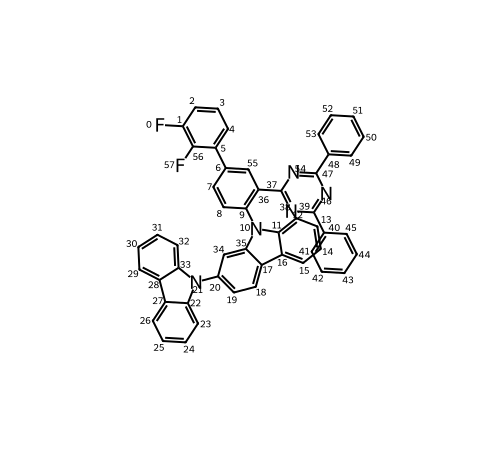 Fc1cccc(-c2ccc(-n3c4ccccc4c4ccc(-n5c6ccccc6c6ccccc65)cc43)c(-c3nc(-c4ccccc4)nc(-c4ccccc4)n3)c2)c1F